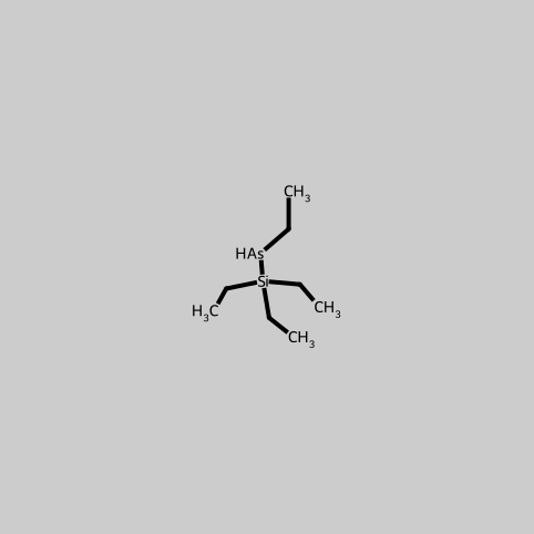 CC[AsH][Si](CC)(CC)CC